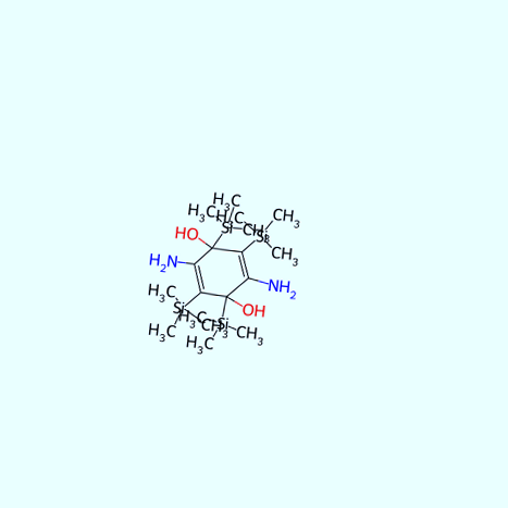 C[Si](C)(C)C1=C(N)C(O)([Si](C)(C)C)C([Si](C)(C)C)=C(N)C1(O)[Si](C)(C)C